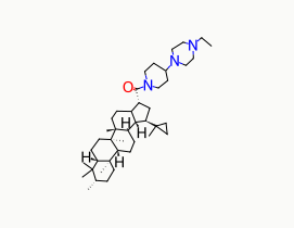 CCN1CCN(C2CCN(C(=O)[C@@H]3C[C@@H](C4(C)CC4)[C@H]4C3CC[C@]3(C)[C@@H]4CC[C@@H]4[C@@]5(C)CC[C@H](C)C(C)(C)[C@@H]5CC[C@]43C)CC2)CC1